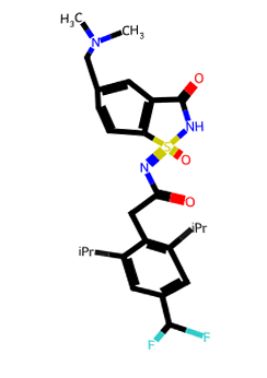 CC(C)c1cc(C(F)F)cc(C(C)C)c1CC(=O)N=S1(=O)NC(=O)c2cc(CN(C)C)ccc21